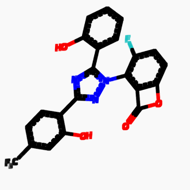 O=C1Oc2ccc(F)c(-n3nc(-c4ccc(C(F)(F)F)cc4O)nc3-c3ccccc3O)c21